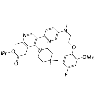 COc1cc(F)ccc1OCCN(C)c1ccc(-c2cnc(C)c(CC(=O)OC(C)C)c2N2CCC(C)(C)CC2)nc1